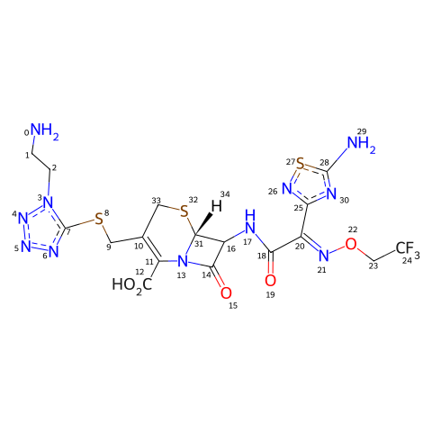 NCCn1nnnc1SCC1=C(C(=O)O)N2C(=O)C(NC(=O)/C(=N/OCC(F)(F)F)c3nsc(N)n3)[C@H]2SC1